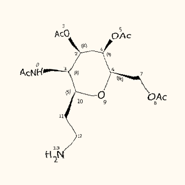 CC(=O)N[C@H]1[C@@H](OC(C)=O)[C@@H](OC(C)=O)[C@@H](COC(C)=O)O[C@H]1CCN